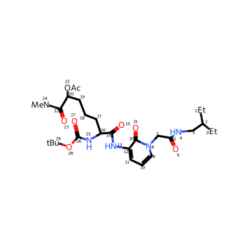 CCC(CC)CNC(=O)Cn1cccc(NC(=O)C(CCCC(OC(C)=O)C(=O)NC)NC(=O)OC(C)(C)C)c1=O